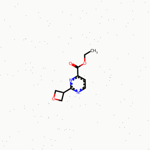 CCOC(=O)c1ccnc(C2COC2)n1